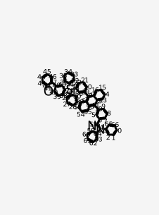 c1ccc(-n2c(-c3cccc(-c4c5ccccc5c(-c5cccc([Si](c6ccccc6)(c6ccccc6)c6ccc7oc8ccccc8c7c6)c5)c5ccccc45)c3)nc3ccccc32)cc1